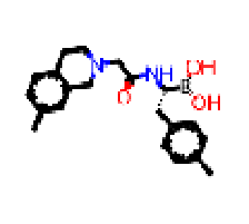 Cc1ccc(C[C@H](NC(=O)CN2CCc3ccc(C)cc3C2)B(O)O)cc1